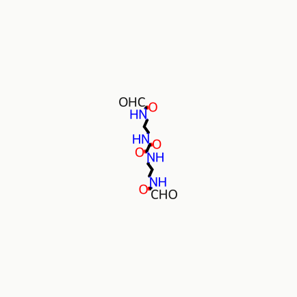 O=CC(=O)NCCCNC(=O)C(=O)NCCCNC(=O)C=O